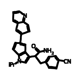 CC(C)n1cc(C(Cc2ccc(C#N)cc2)C(N)=O)c2cc(-c3ccc4ncccc4c3)ccc21